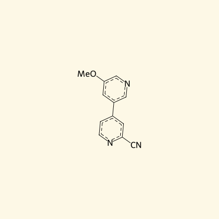 COc1cncc(-c2ccnc(C#N)c2)c1